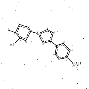 Cc1ccc(-n2ccc(-c3ccc(C(=O)O)cc3)c2)cc1F